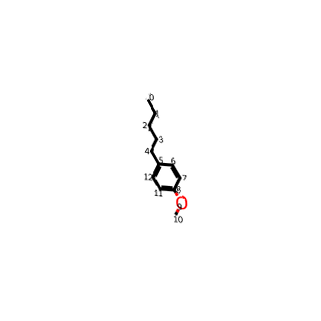 CC[CH]CCc1ccc(OC)cc1